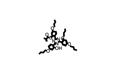 C=C(C)C(=O)Oc1cc(OCCCC)ccc1-c1nc(-c2ccc(OCCCC)cc2O)nc(-c2ccc(OCCCC)cc2OCCCC)n1